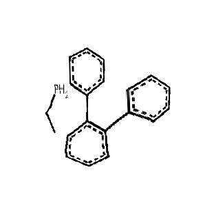 CCP.c1ccc(-c2ccccc2-c2ccccc2)cc1